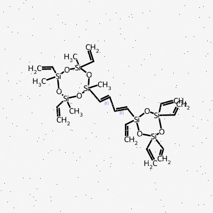 C=C[Si]1(C)O[Si](C)(C=C)O[Si](C)(/C=C/C=C/[Si]2(C=C)O[Si](C=C)(C=C)O[Si](C=C)(C=C)O2)O[Si](C)(C=C)O1